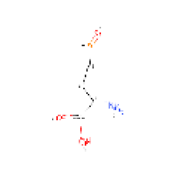 NC(CCP=O)C(=O)O